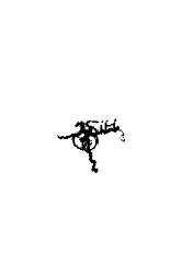 CCCCCCOC(=O)C([SiH3])(CCCCCC)C(CC)CCCCCC